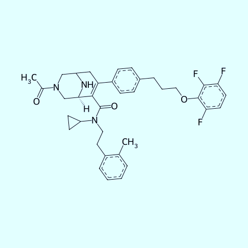 CC(=O)N1CC2CC(c3ccc(CCCOc4c(F)ccc(F)c4F)cc3)=C(C(=O)N(CCc3ccccc3C)C3CC3)[C@@H](C1)N2